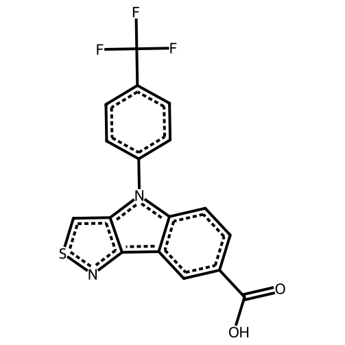 O=C(O)c1ccc2c(c1)c1nscc1n2-c1ccc(C(F)(F)F)cc1